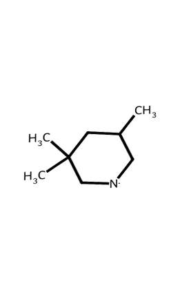 CC1C[N]CC(C)(C)C1